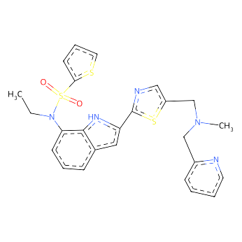 CCN(c1cccc2cc(-c3ncc(CN(C)Cc4ccccn4)s3)[nH]c12)S(=O)(=O)c1cccs1